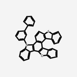 c1ccc(-c2cccc(-n3c4ccccc4c4c5oc6ccccc6c5c5c(ccc6sc7ccccc7c65)c43)c2)cc1